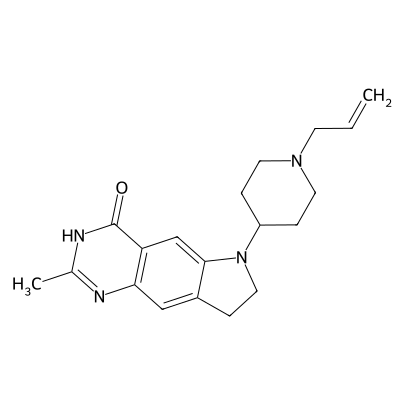 C=CCN1CCC(N2CCc3cc4nc(C)[nH]c(=O)c4cc32)CC1